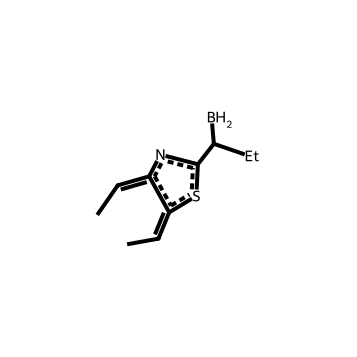 BC(CC)c1nc(=C/C)/c(=C\C)s1